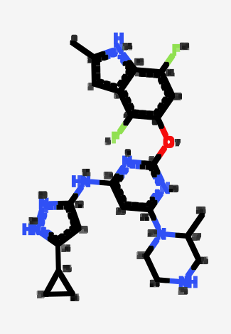 Cc1cc2c(F)c(Oc3nc(Nc4cc(C5CC5)[nH]n4)cc(N4CCNCC4C)n3)cc(F)c2[nH]1